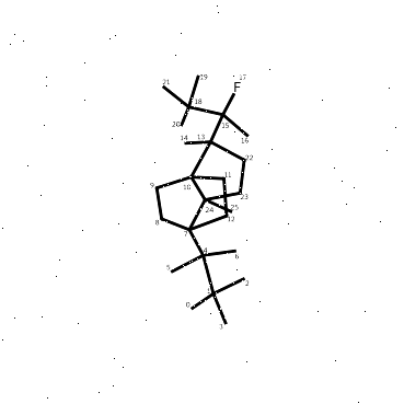 CC(C)(C)C(C)(C)C12CCC3(CC1)C(C)(C(C)(F)C(C)(C)C)CCC23C